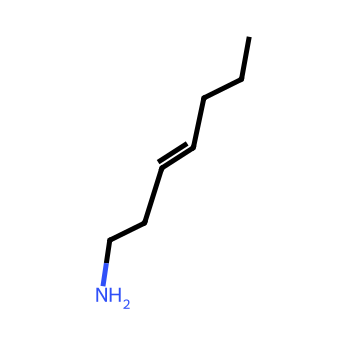 CCCC=CCCN